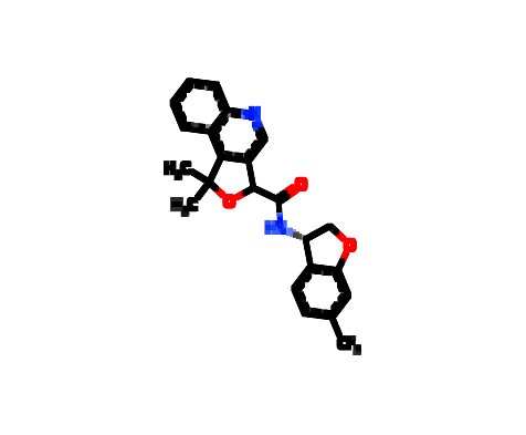 CC1(C)OC(C(=O)N[C@@H]2COc3cc(C(F)(F)F)ccc32)c2cnc3ccccc3c21